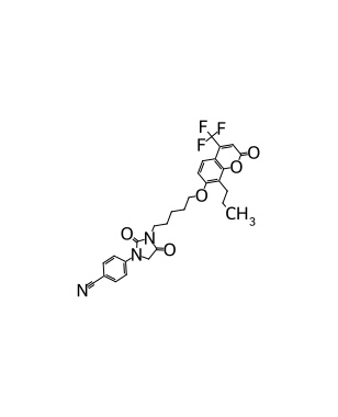 CCCc1c(OCCCCCN2C(=O)CN(c3ccc(C#N)cc3)C2=O)ccc2c(C(F)(F)F)cc(=O)oc12